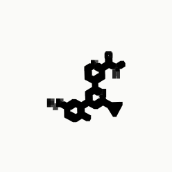 CNC(=O)c1cc(-c2cc(-c3cc(N)ccc3C)cc(C3CC3)n2)ccn1